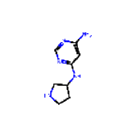 Nc1cc(NC2CCNC2)ncn1